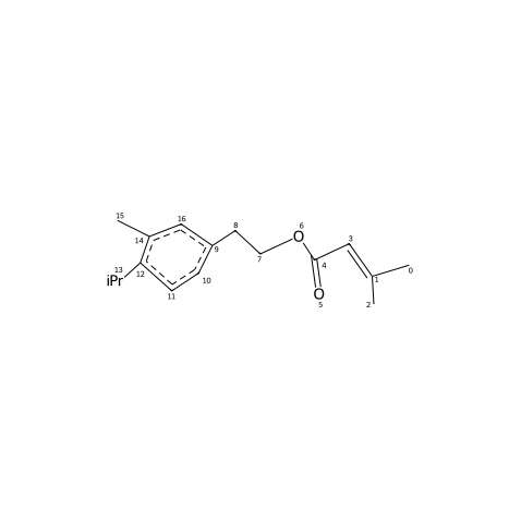 CC(C)=CC(=O)OCCc1ccc(C(C)C)c(C)c1